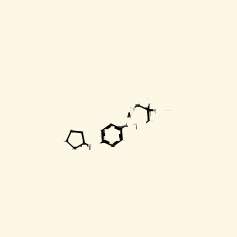 CC1(C)COB(c2ccc(OC3CCCC3)cc2)OC1